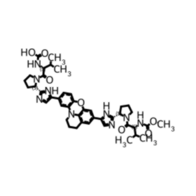 COC(=O)N[C@H](C(=O)N1CCC[C@H]1c1ncc(-c2cc3c4c(c2)Oc2ccc(-c5cnc([C@@H]6CCCN6C(=O)[C@@H](NC(=O)O)C(C)C)[nH]5)cc2N4CCC3)[nH]1)C(C)C